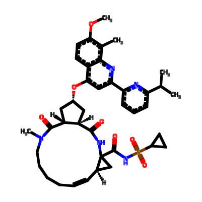 COc1ccc2c(O[C@@H]3C[C@H]4C(=O)NC5(C(=O)NS(=O)(=O)C6CC6)C[C@H]5/C=C\CCCCN(C)C(=O)[C@@H]4C3)cc(-c3cccc(C(C)C)n3)nc2c1C